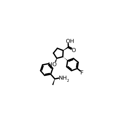 C[C@H](N)c1ccccc1.O=C(O)[C@@H]1CC[C@H](O)[C@H]1c1ccc(F)cc1